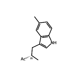 CC(=O)[C@@H](C)Cc1c[nH]c2ccc(C)cc12